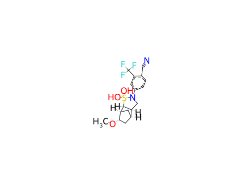 CO[C@H]1C[C@H]2C[C@@H]1[C@@H]1[C@H]2CN(c2ccc(C#N)c(C(F)(F)F)c2)S1(O)O